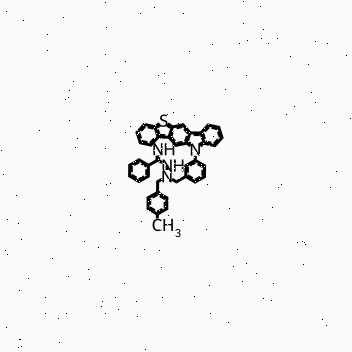 Cc1ccc(CN(Cc2cccc(-n3c4ccccc4c4cc5sc6ccccc6c5cc43)c2)NC(=N)c2ccccc2)cc1